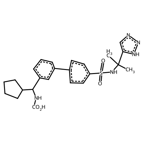 CC(C)(NS(=O)(=O)c1ccc(-c2cccc(C(NC(=O)O)C3CCCC3)c2)cc1)c1cnn[nH]1